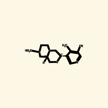 Cc1c(C#N)cncc1[C@H]1CN2CCN(C(=O)O)C[C@H]2CO1